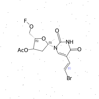 CC(=O)OC1C[C@@H](n2cc(/C=C/Br)c(=O)[nH]c2=O)O[C@H]1COF